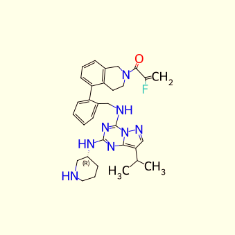 C=C(F)C(=O)N1CCc2c(cccc2-c2ccccc2CNc2nc(N[C@@H]3CCCNC3)nc3c(C(C)C)cnn23)C1